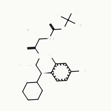 Cc1ccc([C@@H](C2CCCCC2)[C@H](C)OC(=O)[C@H](C)NC(=O)OC(C)(C)C)c(C)c1